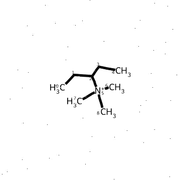 CCC(CC)[N+](C)(C)C